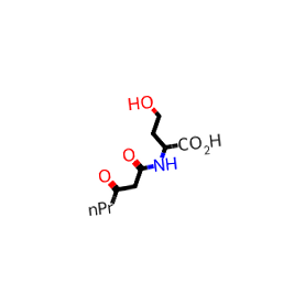 CCCC(=O)CC(=O)NC(CCO)C(=O)O